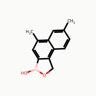 Cc1ccc2c3c(cc(C)c2c1)B(O)OC3